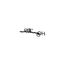 CCCCCC(O)CCCC(CCCCCCC(=O)O)[S+](C)[O-]